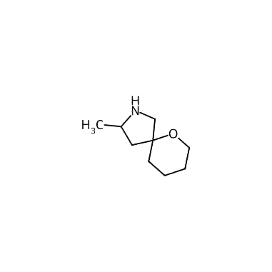 CC1CC2(CCCCO2)CN1